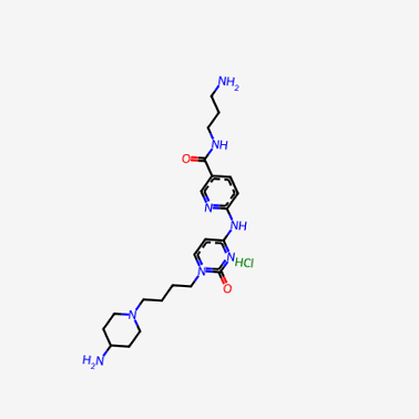 Cl.NCCCNC(=O)c1ccc(Nc2ccn(CCCCN3CCC(N)CC3)c(=O)n2)nc1